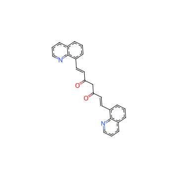 O=C(/C=C/c1cccc2cccnc12)CC(=O)/C=C/c1cccc2cccnc12